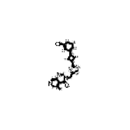 Cc1cncc2ncn(Cc3nc(C4CC(c5cccc(Cl)c5)C4)no3)c(=O)c12